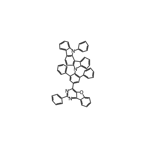 c1ccc(-c2nc(-c3cc(-c4ccccc4)c(-n4c5ccccc5c5c4ccc4c6ccccc6n(-c6ccccc6)c45)c(-c4ccccc4)c3)c3oc4ccccc4c3n2)cc1